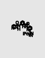 CC(C)n1cnnc1-c1cccc(NC(=O)c2cccc(NC(=O)c3ccncn3)c2)n1